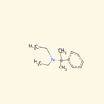 CCN(CC)[Si](C)(C)c1ccccc1